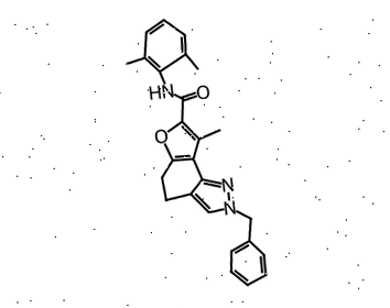 Cc1cccc(C)c1NC(=O)c1oc2c(c1C)-c1nn(Cc3ccccc3)cc1CC2